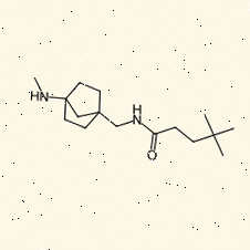 CNC12CCC(CNC(=O)CCC(C)(C)C)(CC1)C2